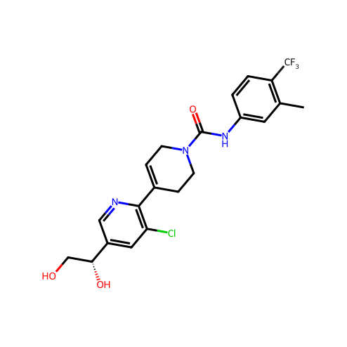 Cc1cc(NC(=O)N2CC=C(c3ncc([C@H](O)CO)cc3Cl)CC2)ccc1C(F)(F)F